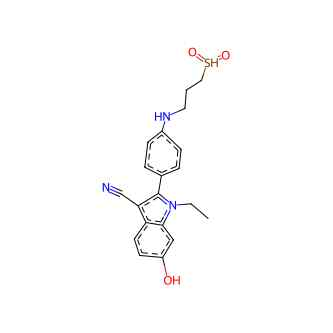 CCn1c(-c2ccc(NCCC[SH](=O)=O)cc2)c(C#N)c2ccc(O)cc21